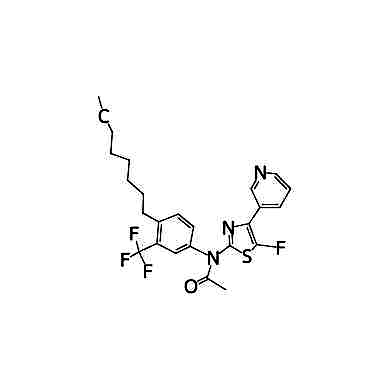 CCCCCCCCc1ccc(N(C(C)=O)c2nc(-c3cccnc3)c(F)s2)cc1C(F)(F)F